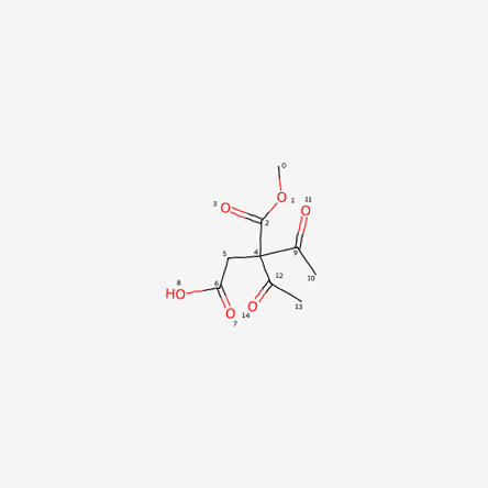 COC(=O)C(CC(=O)O)(C(C)=O)C(C)=O